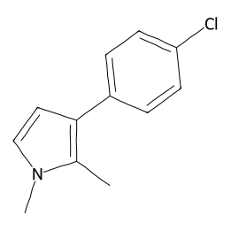 Cc1c(-c2ccc(Cl)cc2)ccn1C